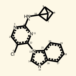 Clc1cnc(NC2C3CC2C3)nc1-n1cnc2ccccc21